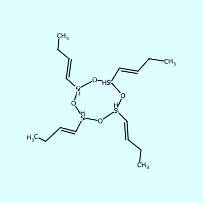 CCC=C[SiH]1O[SiH](C=CCC)O[SiH](C=CCC)O[SiH](C=CCC)O1